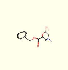 BC1CN(C)CC(C(=O)OCc2ccccc2)O1